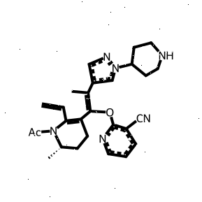 C=CC1=C(/C(Oc2ncccc2C#N)=C(\C)c2cnn(C3CCNCC3)c2)CC[C@H](C)N1C(C)=O